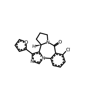 O=C1c2c(Cl)cccc2-n2cnc(-c3ccco3)c2[C@@H]2CCCN12